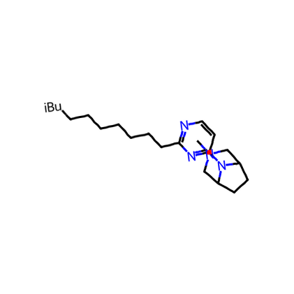 CCC(C)CCCCCCCc1nccc(N2C3CCC2CN(C)C3)n1